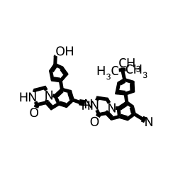 CC(C)(C)c1ccc(-c2cc(C#N)cc3cc4n(c23)CCNC4=O)cc1.N#Cc1cc(-c2ccc(CO)cc2)c2c(c1)cc1n2CCNC1=O